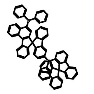 c1ccc(N(c2ccc3c(c2)-c2ccccc2C32c3ccccc3-c3c2cc(N(c2ccccc2)c2ccccc2)c2ccccc32)c2cccc3c2C2(c4ccccc4-c4ccccc42)c2ccccc2-3)cc1